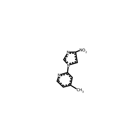 Cc1ccnc(-n2cnc([N+](=O)[O-])c2)c1